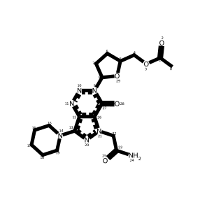 CC(=O)OCC1[CH][CH]C(n2nnc3c(N4CCCCC4)nn(CC(N)=O)c3c2=O)O1